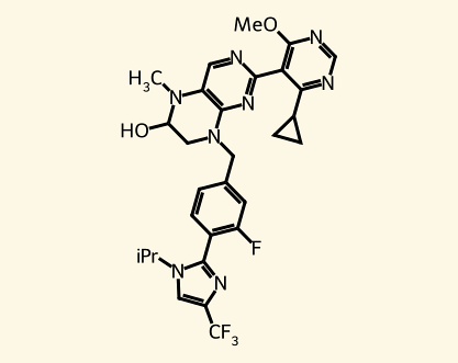 COc1ncnc(C2CC2)c1-c1ncc2c(n1)N(Cc1ccc(-c3nc(C(F)(F)F)cn3C(C)C)c(F)c1)CC(O)N2C